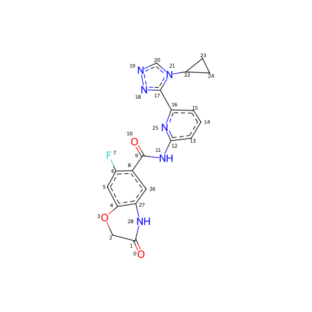 O=C1COc2cc(F)c(C(=O)Nc3cccc(-c4nncn4C4CC4)n3)cc2N1